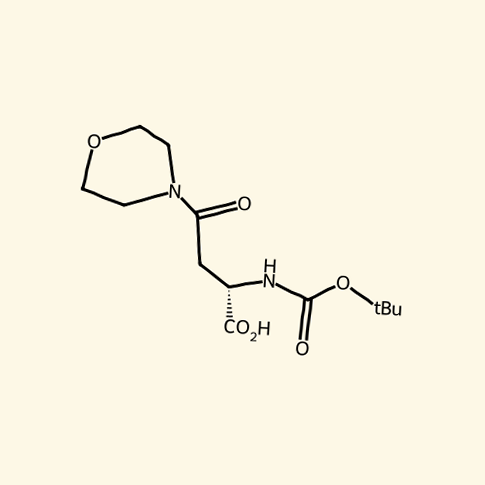 CC(C)(C)OC(=O)N[C@@H](CC(=O)N1CCOCC1)C(=O)O